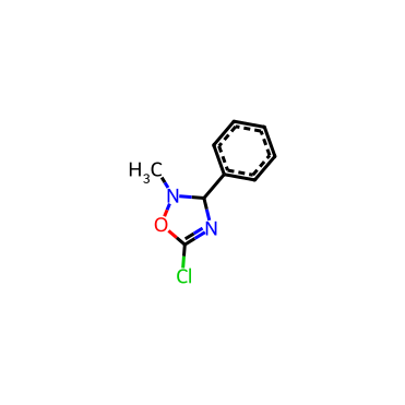 CN1OC(Cl)=NC1c1ccccc1